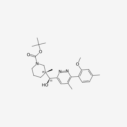 COc1cc(C)ccc1-c1nnc([C@@H](O)[C@]2(C)CCCN(C(=O)OC(C)(C)C)C2)cc1C